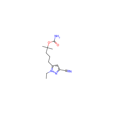 CCn1nc(C#N)cc1CCCC(C)(C)OC(N)=O